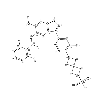 COc1cc2[nH]nc(-c3cnc(N4CC5(C4)CN(S(C)(=O)=O)C5)c(F)c3)c2cc1OC(C)c1c(Cl)cncc1Cl